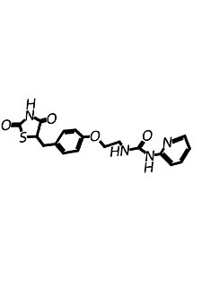 O=C(NCCOc1ccc(CC2SC(=O)NC2=O)cc1)Nc1ccccn1